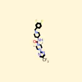 C[C@@H]1CN(c2ncc(C(F)(F)F)cn2)C[C@H](C)N1C(=O)NC1CCN(Cc2ccc(F)c(F)c2)CC1